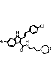 O=C(NCCCN1CCOCC1)c1c(C=Cc2ccc(Cl)cc2)[nH]c2cc(Br)ccc12